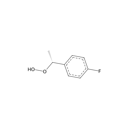 C[C@@H](OO)c1ccc(F)cc1